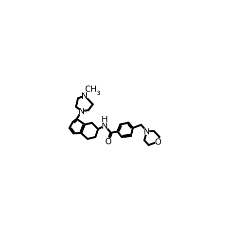 CN1CCN(c2cccc3c2CC(NC(=O)c2ccc(CN4CCOCC4)cc2)CC3)CC1